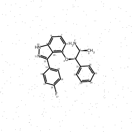 C[C@H](N)[C@H](Oc1cccc2[nH]nc(-c3ccc(F)cc3)c12)c1ccccc1